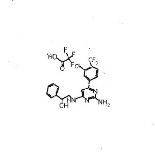 Nc1nc(NC[C@H](O)c2ccccc2)cc(-c2ccc(C(F)(F)F)c(Cl)c2)n1.O=C(O)C(F)(F)F